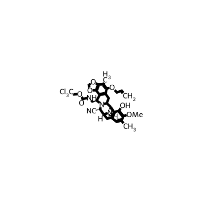 C=CCOc1c(C)c2c(c3c1CC1C4c5c(cc(C)c(OC)c5O)C[C@@H]([C@H](C#N)N1[C@H]3CNC(=O)OCC(Cl)(Cl)Cl)N4C)OCO2